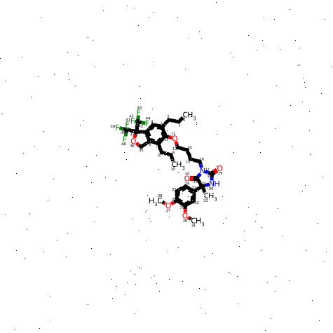 CCCc1cc2c(c(CCC)c1OCCCCN1C(=O)NC(C)(c3ccc(OC)c(OC)c3)C1=O)COC2(C(F)(F)F)C(F)(F)F